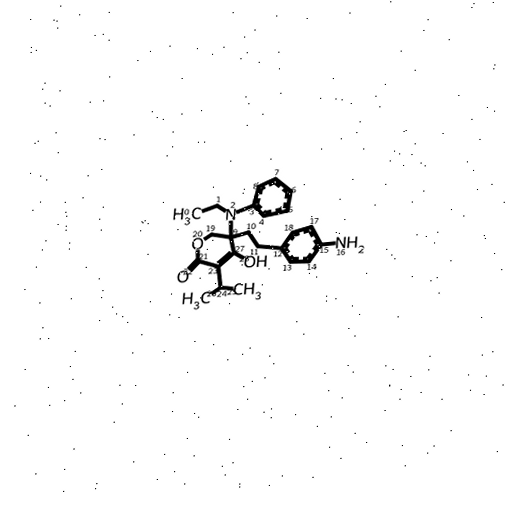 CCN(c1ccccc1)C1(CCc2ccc(N)cc2)COC(=O)C(C(C)C)=C1O